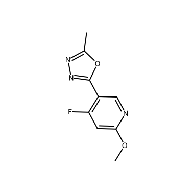 COc1cc(F)c(-c2nnc(C)o2)cn1